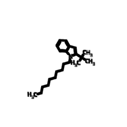 CCCCCCCCCCn1c(C(C)(C)C)cc2ccccc21